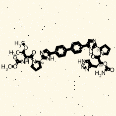 COC(=O)N[C@H](C(=O)N1CCC[C@H]1c1ncc(-c2ccc(-c3ccc(-c4cnc([C@@H]5CCCN5C(=O)[C@H](Cc5c[nH]nn5)OC(N)=O)[nH]4)cc3)cc2)[nH]1)[C@@H](C)OC